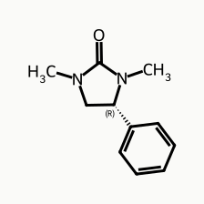 CN1C[C@@H](c2ccccc2)N(C)C1=O